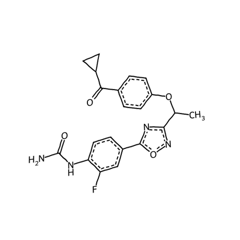 CC(Oc1ccc(C(=O)C2CC2)cc1)c1noc(-c2ccc(NC(N)=O)c(F)c2)n1